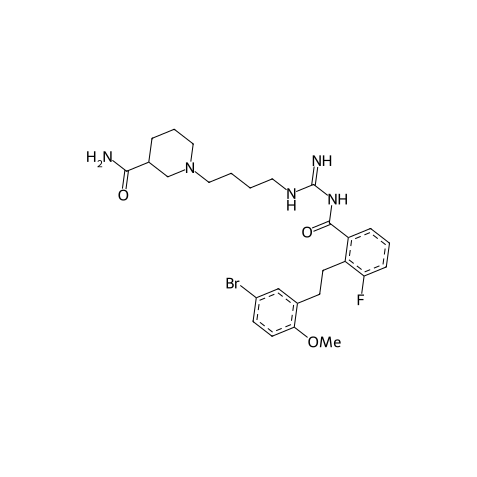 COc1ccc(Br)cc1CCc1c(F)cccc1C(=O)NC(=N)NCCCCN1CCCC(C(N)=O)C1